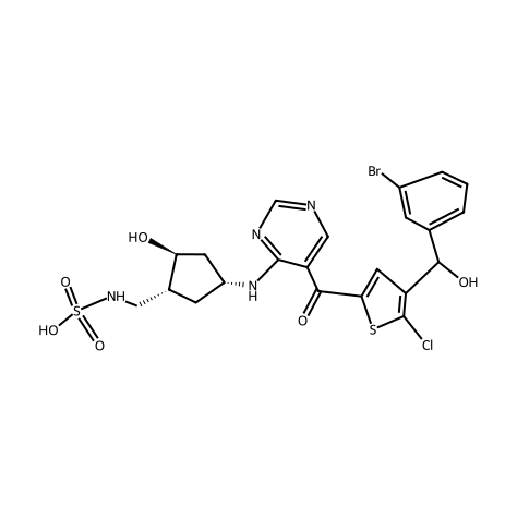 O=C(c1cc(C(O)c2cccc(Br)c2)c(Cl)s1)c1cncnc1N[C@@H]1C[C@H](CNS(=O)(=O)O)[C@@H](O)C1